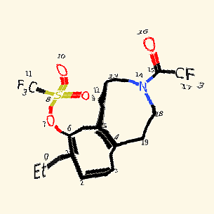 CCc1ccc2c(c1OS(=O)(=O)C(F)(F)F)CCN(C(=O)C(F)(F)F)CC2